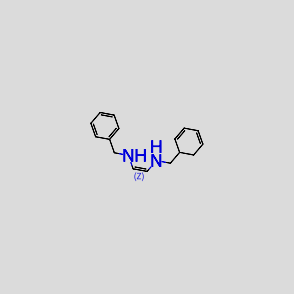 C1=CCC(CN/C=C\NCc2ccccc2)C=C1